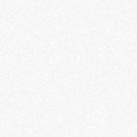 Nc1cc(N)nc(Cc2cccc(CN3CCCCC3)c2)n1